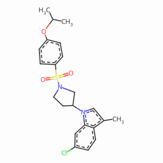 Cc1cn(C2CCN(S(=O)(=O)c3ccc(OC(C)C)cc3)C2)c2cc(Cl)ccc12